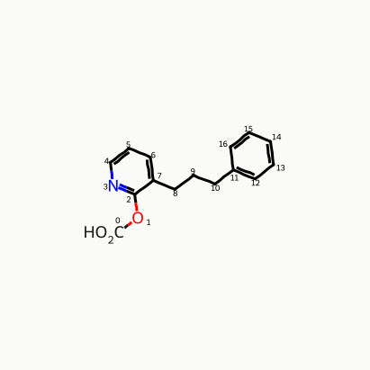 O=C(O)Oc1ncccc1CCCc1ccccc1